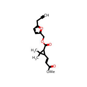 C#CCc1ccc(COC(=O)C2C(C=CC(=O)OC)C2(C)C)o1